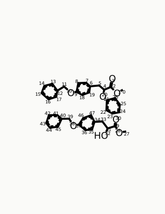 COC(=O)C(Cc1ccc(OCc2ccccc2)cc1)Oc1ccccc1.COC(=O)C(O)Cc1ccc(OCc2ccccc2)cc1